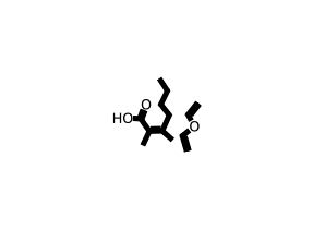 C=COC=C.CCCCC(C)=C(C)C(=O)O